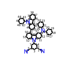 N#Cc1cc(C#N)cc(-n2c3ccc(N(c4ccccc4)c4ccccc4)cc3c3c(-c4ccc5c6ccccc6n(-c6ccccc6)c5c4)cccc32)c1